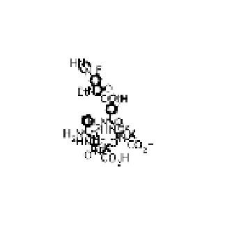 CC1(C)S[C@@H]2[C@H](NC(=O)[C@H](N)c3ccc(O)cc3)C(=O)N2[C@H]1C(=O)O.CC1(C)S[C@@H]2[C@H](NC(=O)[C@H](N)c3ccccc3)C(=O)N2[C@H]1C(=O)O.CCn1cc(C(=O)O)c(=O)c2cc(F)c(N3CCNCC3)cc21